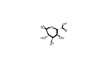 OC1O[C@H](C(O)Br)[C@@H](O)[C@@H](O)[C@@H]1O